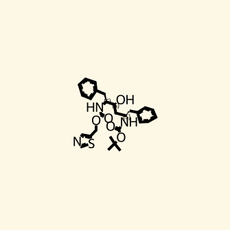 CC(C)(C)OC(=O)N[C@@H](Cc1ccccc1)C[C@H](O)[C@H](Cc1ccccc1)NC(=O)OCc1cncs1